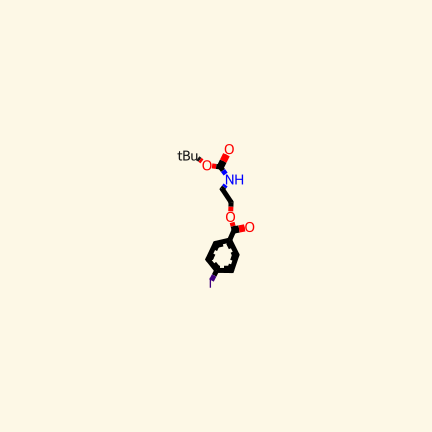 CC(C)(C)OC(=O)NCCOC(=O)c1ccc(I)cc1